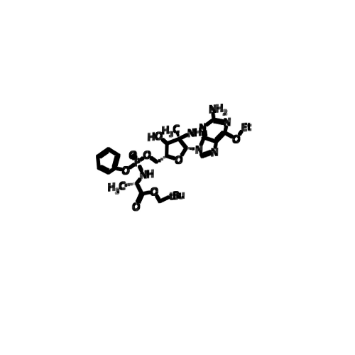 CCOc1nc(N)nc2c1ncn2[C@@H]1O[C@H](COP(=O)(N[C@@H](C)C(=O)OCC(C)(C)C)Oc2ccccc2)C(O)[C@@]1(C)N